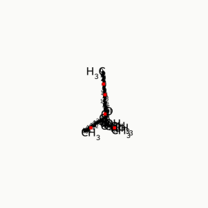 CCCCCCCCCCCCCCCCCCCC(=O)OCC(COP(=O)(O)OCC[N+](C)(C)C)OC(=O)CCCCCCCCCC